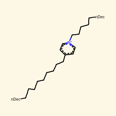 CCCCCCCCCCCCCCCCCCCc1cc[n+](CCCCCCCCCCCCCCC)cc1